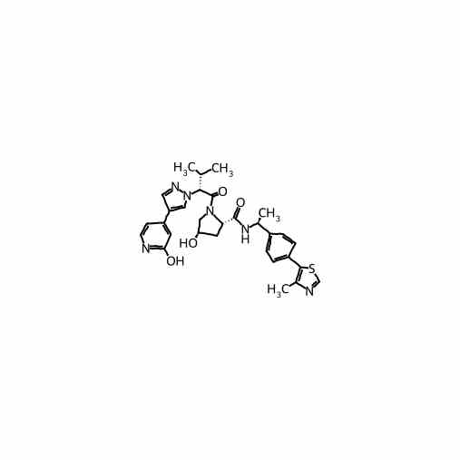 Cc1ncsc1-c1ccc([C@H](C)NC(=O)[C@@H]2C[C@@H](O)CN2C(=O)[C@@H](C(C)C)n2cc(-c3ccnc(O)c3)cn2)cc1